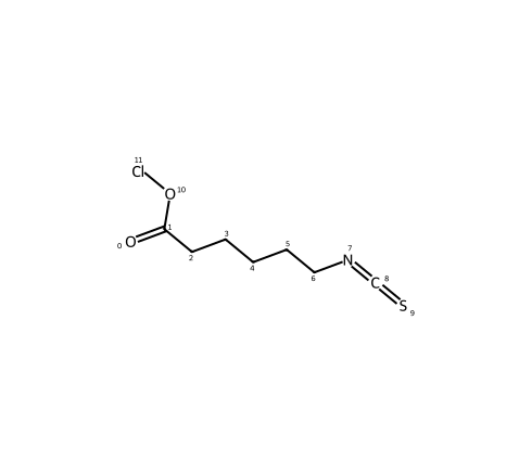 O=C(CCCCCN=C=S)OCl